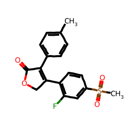 Cc1ccc(C2=C(c3ccc(S(C)(=O)=O)cc3F)COC2=O)cc1